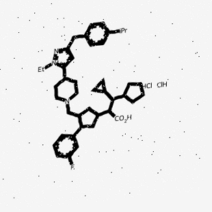 CCn1nc(Cc2ccc(C(C)C)cc2)cc1C1CCN(CC2CC(C(C(=O)O)C(C3CCCC3)C3CC3)CC2c2cccc(F)c2)CC1.Cl.Cl